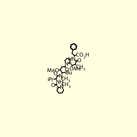 CCC(C)C(C(CC(=O)N1CCC[C@H]1C(OC)C(C)C(=O)NC(Cc1ccccc1)C(=O)O)OC)N(C)C(=O)C(NC(=O)[C@@H]1CCCCN1C)C(C)C